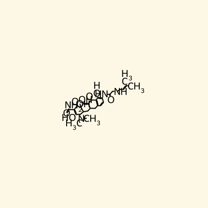 CC(C)=CCNCC(=O)Nc1ccc2c(c1O)C(=O)C1=C(O)C3(O)C(=O)C(C(N)=O)=C(O)[C@@H](N(C)C)C3CC1C2